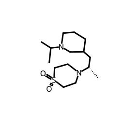 CC(C)N1CCCC(C[C@H](C)N2CCS(=O)(=O)CC2)C1